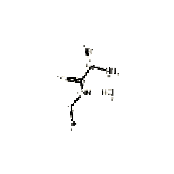 CC(C)CNC(=O)[C@@H](N)C(C)C.Cl